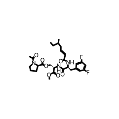 CCC(C)C/C=C/C(=O)N[C@@H](Cc1cc(F)cc(F)c1)C(=O)N[C@@H](COC(=O)C1CCCN1C(C)=O)C(=O)OC